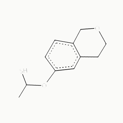 CC(S)Oc1ccc2c(c1)CCOC2